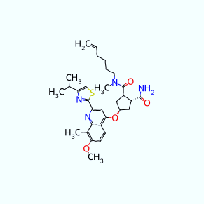 C=CCCCCN(C)C(=O)[C@@H]1C[C@H](Oc2cc(-c3nc(C(C)C)cs3)nc3c(C)c(OC)ccc23)C[C@H]1C(N)=O